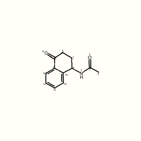 CC(=O)NC1CCC(=O)c2ccccc21